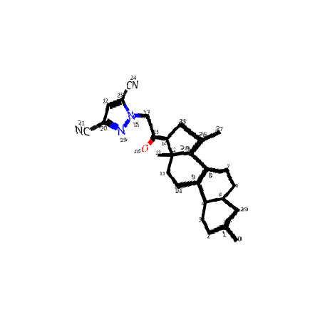 CC1CCC2C(CCC3C2CCC2(C)C(C(=O)Cn4nc(C#N)cc4C#N)CC(C)C32)C1